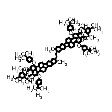 Cc1cc2cc3c(cc2cc1CCc1cc2cc4c(cc2cc1C)-c1ccc2c5c(Oc6ccc(C(C)(C)C)cc6)cc6c7c(cc(Oc8ccc(C(C)(C)C)cc8)c(c8ccc-4c1c28)c75)C(=O)N(c1c(C(C)C)cc(C(C)C)cc1C(C)C)C6=O)C1=CC=C2c4c(Oc5ccc(C(C)(C)C)cc5)cc5c6c(cc(Oc7ccc(C(C)(C)C)cc7)c(c46)C4=CC=C3C1C42)C(=O)N(c1c(C(C)C)cc(C(C)C)cc1C(C)C)C5=O